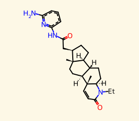 CCN1C(=O)C=C[C@]2(C)[C@H]3CC[C@]4(C)[C@@H](CC(=O)Nc5cccc(N)n5)CC[C@H]4[C@@H]3CC[C@@H]12